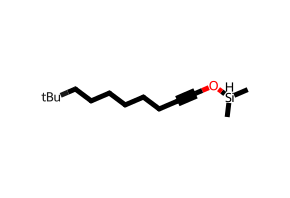 C[SiH](C)OC#CCCCCCCC(C)(C)C